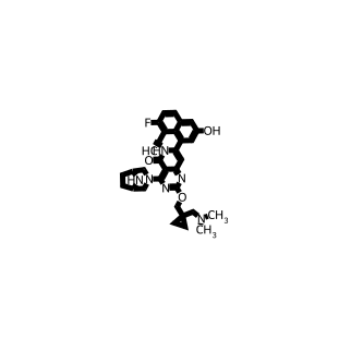 C#Cc1c(F)ccc2cc(O)cc(-c3cc4nc(OCC5(CN(C)C)CC5)nc(N5CC6CCC(C5)N6)c4c(=O)[nH]3)c12